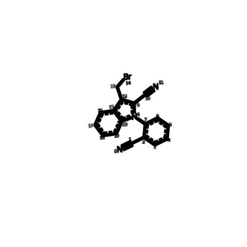 N#Cc1ccccc1-n1c(C#N)c(CBr)c2ccccc21